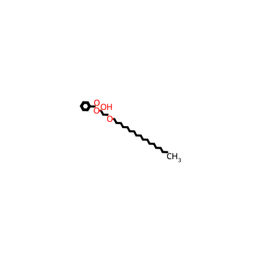 CCCCCCCCCCCCCCCCCCOCCC(O)OC(=O)c1ccccc1